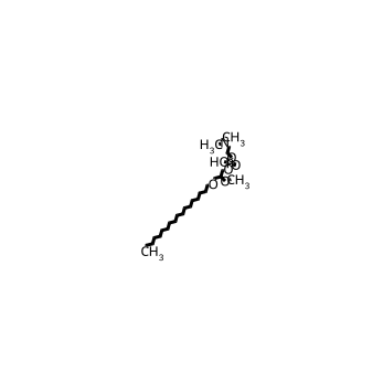 CCCCCCCCCCCCCCCCCCOCC(COP(=O)(O)OCCN(C)C)OC